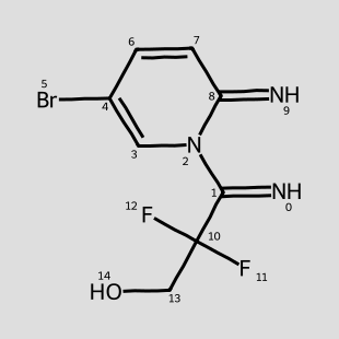 N=C(n1cc(Br)ccc1=N)C(F)(F)CO